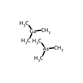 C[As](C)C.[CH3][Ga]([CH3])[CH3]